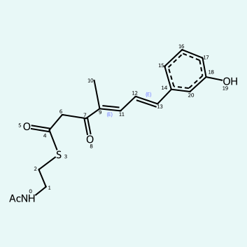 CC(=O)NCCSC(=O)CC(=O)/C(C)=C/C=C/c1cccc(O)c1